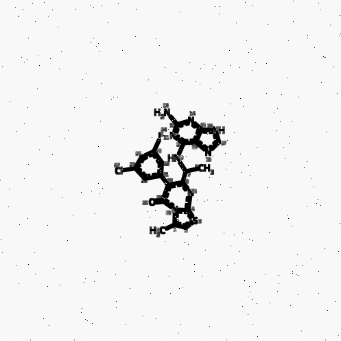 Cc1csc2nc(C(C)Nc3nc(N)nc4[nH]cnc34)c(-c3cc(F)cc(Cl)c3)c(=O)n12